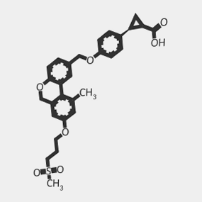 Cc1cc(OCCCS(C)(=O)=O)cc2c1-c1cc(COc3ccc([C@H]4CC4C(=O)O)cc3)ccc1OC2